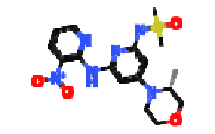 C[C@@H]1COCCN1c1cc(N=S(C)(C)=O)nc(Nc2ncccc2[N+](=O)[O-])c1